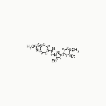 CCc1cc(-c2cc(CC)n(CC(=O)N3CCc4nc(C)sc4CC3)n2)ccc1C